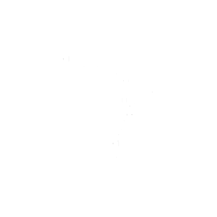 O.O.O.O.O.O.O.[Cl-].[Cl-].[Cl-].[Tb+3]